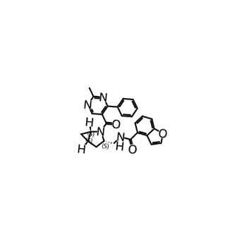 Cc1ncc(C(=O)N2[C@H](CNC(=O)c3cccc4occc34)C[C@@H]3C[C@@H]32)c(-c2ccccc2)n1